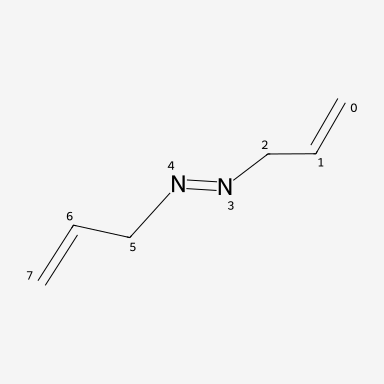 C=CCN=NCC=C